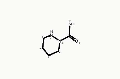 O=C(S)N1CCCCN1